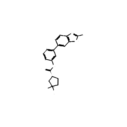 Cc1nc2ccc(-c3cccc(NC(=O)[C@H]4CCC(F)(F)C4)c3)cc2s1